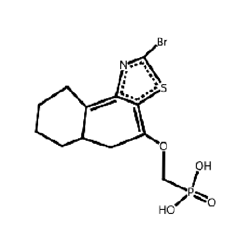 O=P(O)(O)COC1=c2sc(Br)nc2=C2CCCCC2C1